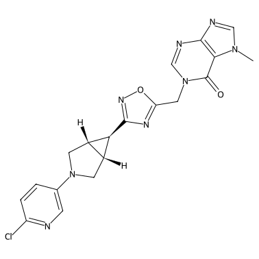 Cn1cnc2ncn(Cc3nc([C@H]4[C@@H]5CN(c6ccc(Cl)nc6)C[C@@H]54)no3)c(=O)c21